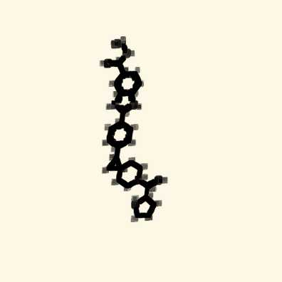 CC(C)(C)OC(=O)c1ccc2oc(-c3ccc(C4CC45CCN(C(=O)[C@H]4CCCO4)CC5)cc3)nc2c1